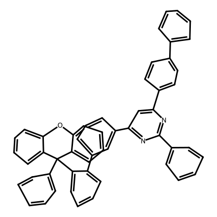 c1ccc(-c2ccc(-c3cc(-c4cccc(-c5ccccc5C5(c6ccccc6)c6ccccc6Oc6ccccc65)c4)nc(-c4ccccc4)n3)cc2)cc1